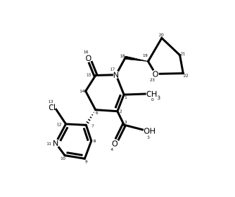 CC1=C(C(=O)O)[C@H](c2cccnc2Cl)CC(=O)N1C[C@H]1CCCO1